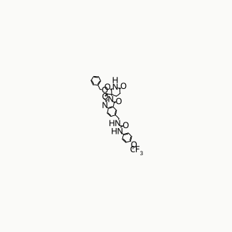 Cc1nc2ccc(CNC(=O)Nc3ccc(OC(F)(F)F)cc3)cc2c(=O)n1C1(C(=O)OCc2ccccc2)CCC(=O)NC1=O